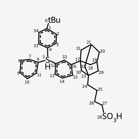 CC(C)(C)c1ccc([SH](c2ccccc2)c2cccc(C34CC5CC(CC(CCCCS(=O)(=O)O)(C5)C3)C4)c2)cc1